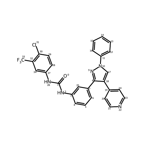 O=C(Nc1cccc(-c2nn(-c3ccccc3)cc2-c2ccncc2)c1)Nc1ccc(Cl)c(C(F)(F)F)c1